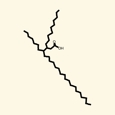 CCCCCCCCCCCCCCCCCCC(CCCCCCC)C(CCCCCCCCCC)CC(=O)O